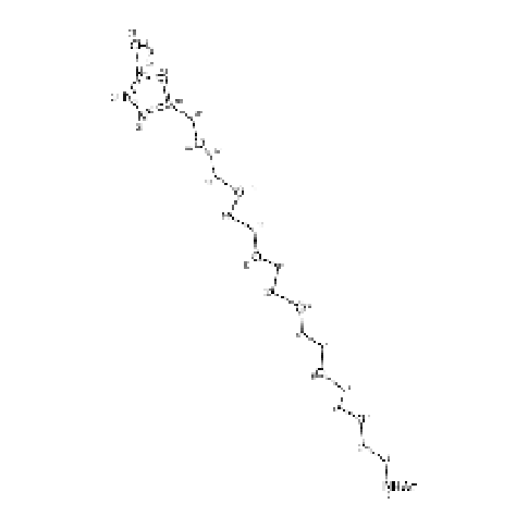 CC(=O)NCCOCCOCCOCCOCCOCCOCc1cn(C)nn1